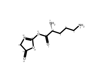 NCCC[C@@H](N)C(=O)OC1=NCC(=O)O1